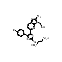 CC(C)(C)Cn1c(N)nc2ccc(-c3nc(C(C)(C)C)[nH]c3-c3ccc(F)cc3)nc21.O=C(O)/C=C/C(=O)O